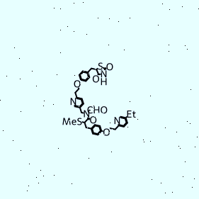 CCc1ccc(CCOc2ccc(CC(SC)C(=O)N(C=O)Cc3ccc(CCOc4ccc(CC5SC(=O)NC5=O)cc4)nc3)cc2)nc1